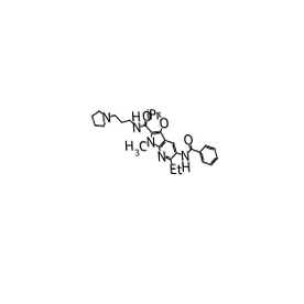 CCc1nc2c(cc1NC(=O)c1ccccc1)c(OC(C)C)c(C(=O)NCCCN1CCCC1)n2C